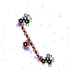 CN1Cc2c(Cl)cc(Cl)cc2C(c2cccc(S(=O)(=O)NCCOCCOCCOCCN(CCOCCOCCOCCNS(=O)(=O)c3cccc(C4CN(C)Cc5c(Cl)cc(Cl)cc54)c3)S(=O)(=O)c3cccc(S(N)(=O)=O)c3)c2)C1